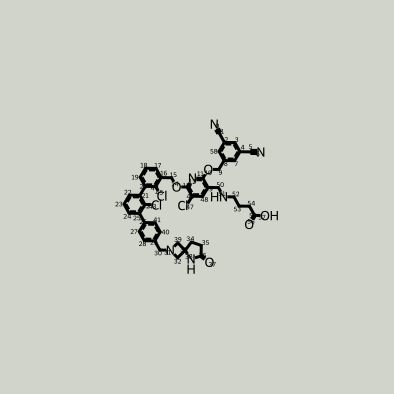 N#Cc1cc(C#N)cc(COc2nc(OCc3cccc(-c4cccc(-c5ccc(CN6CC7(CCC(=O)N7)C6)cc5)c4Cl)c3Cl)c(Cl)cc2CNCCCC(=O)O)c1